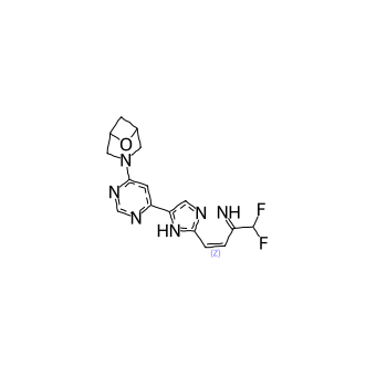 N=C(/C=C\c1ncc(-c2cc(N3CC4CC(C3)O4)ncn2)[nH]1)C(F)F